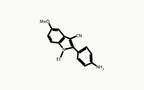 CCn1c(-c2ccc(N)cc2)c(C#N)c2cc(OC)ccc21